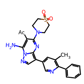 CC(=O)c1c(N2CCS(=O)(=O)CC2)nc2c(-c3cnc(-c4ccccc4)c(C)c3)cnn2c1N